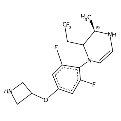 C[C@H]1NC=CN(c2c(F)cc(OC3CNC3)cc2F)C1CC(F)(F)F